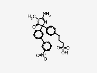 CN1C(=O)C(c2ccc(CCCS(=O)(=O)O)cc2)(c2cccc(-c3cccc([N+](=O)[O-])c3)c2)N=C1N